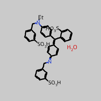 CCN(Cc1cccc(S(=O)(=O)O)c1)c1ccc(C(=C2C=CC(=NCc3cccc(S(=O)(=O)O)c3)C=C2)c2ccccc2S(=O)(=O)O)cc1.O